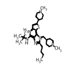 CCCCc1nc2c(NC(C)(C)C)nc3cc(C4CCN(C)CC4)sc3c2n1CC1CCN(C)CC1